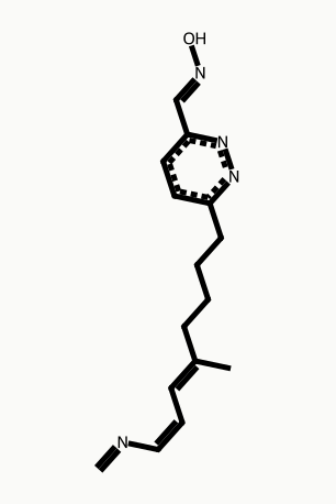 C=N/C=C\C=C(/C)CCCCc1ccc(/C=N/O)nn1